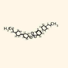 CCC[C@H]1CC[C@H](c2ccc(OC(=O)O[C@H]3CC[C@H]([C@H]4CC[C@H](CCC)CC4)CC3)cc2)CC1